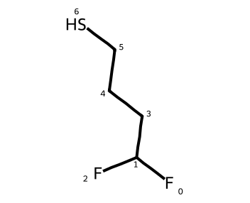 FC(F)CCCS